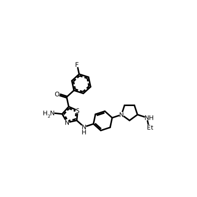 CCNC1CCN(C2C=CC(Nc3nc(N)c(C(=O)c4cccc(F)c4)s3)=CC2)C1